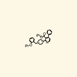 CC(C)OC(=O)c1c(-c2ccccc2)ccnc1N1CCN(Cc2ccccc2OC(C)C)CC1